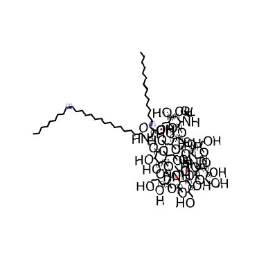 CCCCCCCC/C=C\CCCCCCCCCCCCCC(=O)N[C@@H](CO[C@@H]1OC(CO)[C@@H](O[C@@H]2OC(CO)[C@H](O)[C@H](O[C@@H]3OC(CO)[C@@H](O)[C@H](O[C@@H]4OC(CO)[C@H](O)[C@H](O[C@@H]5OC(CO)[C@@H](O)[C@H](O[C@@H]6OC(CO)[C@H](O)[C@H](O[C@H]7OC(CO)[C@H](O)[C@H](O)C7NC(C)=O)C6O)C5NC(C)=O)C4O)C3NC(C)=O)C2O)[C@H](O)C1O)[C@H](O)/C=C/CCCCCCCCCCCCC